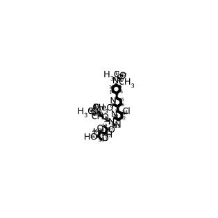 COc1nc(-c2ccc(N=S(C)(C)=O)cc2)ccc1-c1nc2c(cc1Cl)nc(O[C@@H]1CO[C@H]3[C@@H]1OC[C@H]3O)n2COCC[Si](C)(C)C